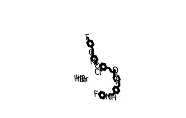 Br.Br.O=C(C=Cc1ccc(Oc2ccc(OCc3ccc(F)cc3)cn2)c(Cl)c1)N1CCN(Cc2ccc(CCNc3ccc(F)cc3)cc2)CC1